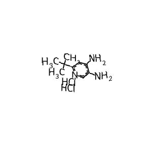 CC(C)(C)c1cc(N)c(N)cn1.Cl.Cl